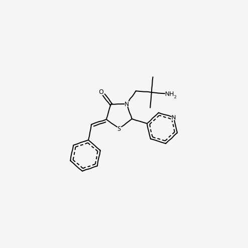 CC(C)(N)CN1C(=O)C(=Cc2ccccc2)SC1c1cccnc1